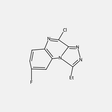 CCc1nnc2c(Cl)nc3ccc(F)cc3n12